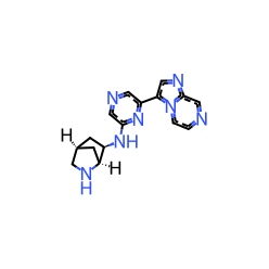 c1cn2c(-c3cncc(N[C@@H]4C[C@@H]5CN[C@H]4C5)n3)cnc2cn1